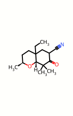 CCC12CC[C@H](C)O[C@H]1C(C)(C)C(=O)C(C#N)C2